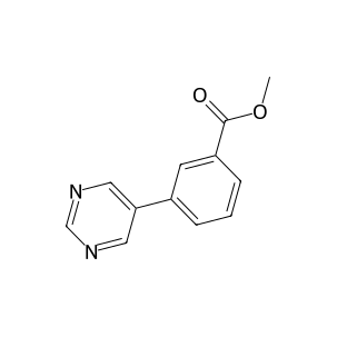 COC(=O)c1cccc(-c2cncnc2)c1